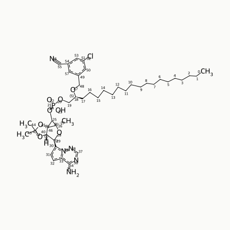 CCCCCCCCCCCCCCCCCC[C@@H](COP(=O)(O)OC1[C@@]2(C)O[C@@H](c3ccc4c(N)ncnn34)[C@@H]3OC(C)(C)O[C@@]132)OCc1cc(Cl)cc(C#N)c1